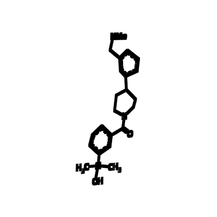 CNCc1cccc(C2CCN(C(=O)c3cccc([Si](C)(C)O)c3)CC2)c1